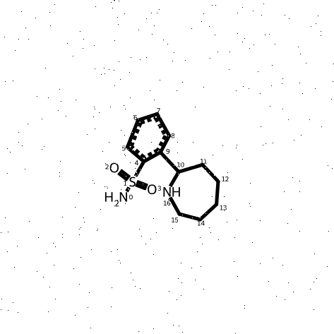 NS(=O)(=O)c1ccccc1C1CCCCCN1